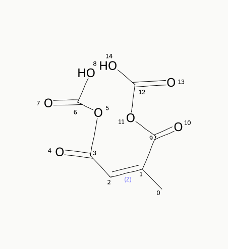 C/C(=C/C(=O)OC(=O)O)C(=O)OC(=O)O